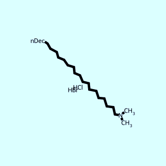 Br.CCCCCCCCCCCCCCCCCCCCCCCCCCCCN(C)C.Cl